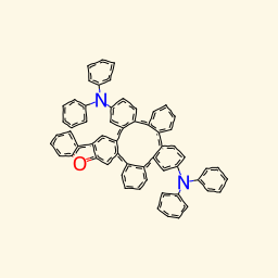 c1ccc(N(c2ccccc2)c2ccc3c4ccccc4c4ccc(N(c5ccccc5)c5ccccc5)cc4c4cc5c(cc4c4ccccc4c3c2)oc2ccccc25)cc1